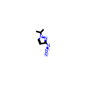 CC(C)n1ccc(N=[N+]=[N-])n1